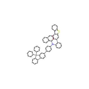 c1ccc(C2(c3ccccc3)c3ccccc3-c3ccc(-c4ccc(N(c5ccccc5-c5ccc6c(c5)sc5ccccc56)c5cccc6ccccc56)cc4)cc32)cc1